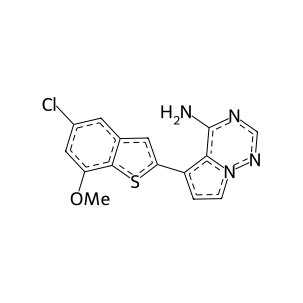 COc1cc(Cl)cc2cc(-c3ccn4ncnc(N)c34)sc12